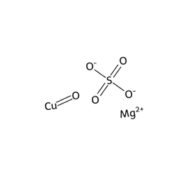 O=S(=O)([O-])[O-].[Mg+2].[O]=[Cu]